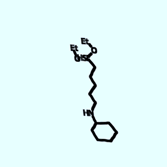 CCO[SiH](CCCCCNC1CCCCC1)OCC